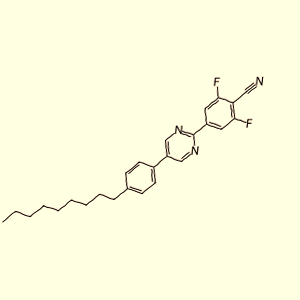 CCCCCCCCCc1ccc(-c2cnc(-c3cc(F)c(C#N)c(F)c3)nc2)cc1